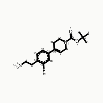 CC(C)(C)OC(=O)N1CC=C(c2ccc(CCN)c(F)c2)CC1